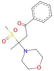 CC(CC(=O)c1ccccc1)(N1CCOCC1)S(C)(=O)=O